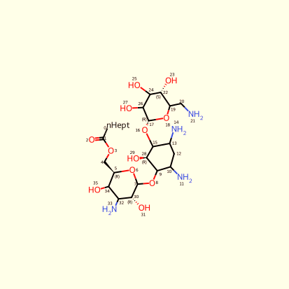 CCCCCCCC(=O)OC[C@H]1OC(OC2C(N)CC(N)C(O[C@H]3OC(CN)[C@@H](O)C(O)C3O)[C@@H]2O)[C@H](O)C(N)C1O